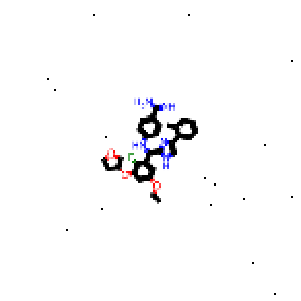 CCOc1cc(O[C@H]2CCOC2)c(F)c(C(Nc2ccc(C(=N)N)cc2)c2nc(-c3ccccc3C)c[nH]2)c1